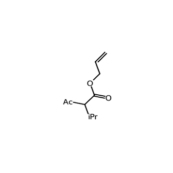 C=CCOC(=O)C(C(C)=O)C(C)C